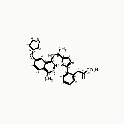 Cc1nnc(N[C@H](C)c2ccc(-c3ccccc3CNC(=O)O)s2)c2cc(O[C@H]3CCOC3)ccc12